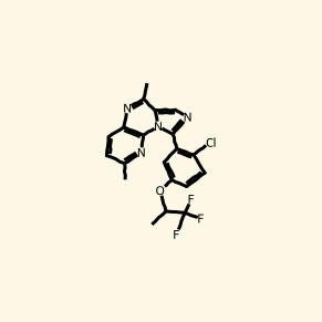 Cc1ccc2nc(C)c3cnc(-c4cc(OC(C)C(F)(F)F)ccc4Cl)n3c2n1